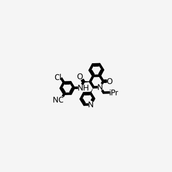 CC(C)CN1C(=O)c2ccccc2[C@H](C(=O)Nc2cc(Cl)cc(C#N)c2)[C@H]1c1cccnc1